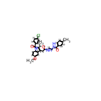 COc1ccc2c(c1)c(CC(=O)NCCNC(=O)c1ccc(C)cc1)c(C)n2C(=O)c1ccc(Cl)cc1